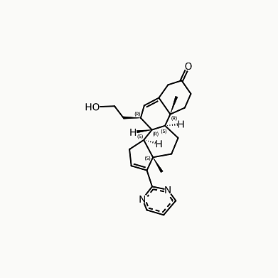 C[C@]12CCC(=O)CC1=C[C@H](CCO)[C@@H]1[C@@H]2CC[C@]2(C)C(c3ncccn3)=CC[C@@H]12